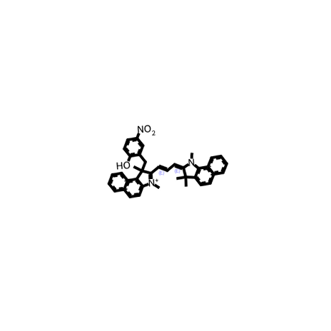 CN1/C(=C/C=C/C2=[N+](C)c3ccc4ccccc4c3C2(C)Cc2cc([N+](=O)[O-])ccc2O)C(C)(C)c2ccc3ccccc3c21